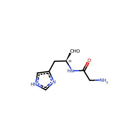 NCC(=O)N[C@H](C=O)Cc1[c][nH]cn1